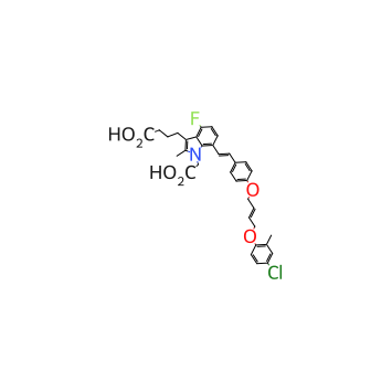 Cc1cc(Cl)ccc1OC/C=C/COc1ccc(C=Cc2ccc(F)c3c(CCCC(=O)O)c(C)n(CC(=O)O)c23)cc1